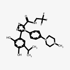 CC(C)c1cc(-c2nnc(C(=O)NCC(F)(F)F)n2-c2ccc(N3CCN(C)CC3)cc2)c(O)cc1O